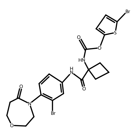 O=C(NC1(C(=O)Nc2ccc(N3CCOCCC3=O)c(Br)c2)CCC1)Oc1ccc(Br)s1